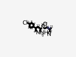 CNc1ncc(-c2ccc(Cl)cc2)cc1N(C=O)C/C=C(/C)C#N